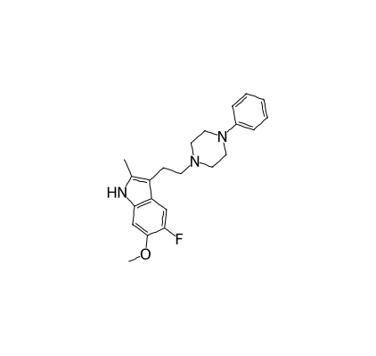 COc1cc2[nH]c(C)c(CCN3CCN(c4ccccc4)CC3)c2cc1F